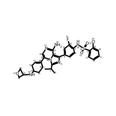 CC(C)c1nc(-c2ccc(NS(=O)(=O)c3ccccc3Cl)c(F)c2)c2c(N)ncc(C3=CCC(NC4COC4)CC3)n12